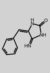 N=C1NC(=O)NC1=Cc1ccccc1